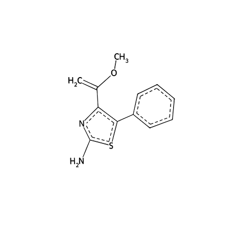 C=C(OC)c1nc(N)sc1-c1ccccc1